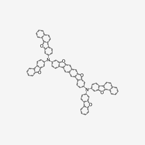 c1ccc2c(c1)ccc1c3ccc(N(c4ccc5c(c4)oc4ccccc45)c4ccc5c(c4)oc4cc6cc7oc8cc(N(c9ccc%10c(c9)oc9ccccc9%10)c9ccc%10c(c9)oc9c%11ccccc%11ccc%109)ccc8c7cc6cc45)cc3oc21